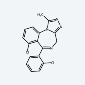 Cc1nnc2n1-c1cccc(Cl)c1C(c1ccccc1Cl)=NC2